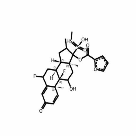 C[SH]=S(=O)(O)C1(OC(=O)c2ccco2)C(C)C[C@H]2[C@@H]3CC(F)C4=CC(=O)C=C[C@]4(C)[C@@]3(F)C(O)C[C@@]21C